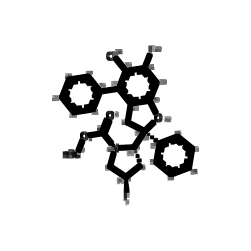 CCCCOC(=O)N1C[C@H](F)C[C@H]1[C@@]1(c2ccccc2)Cc2c(cc(F)c(Cl)c2-c2ccccc2)O1